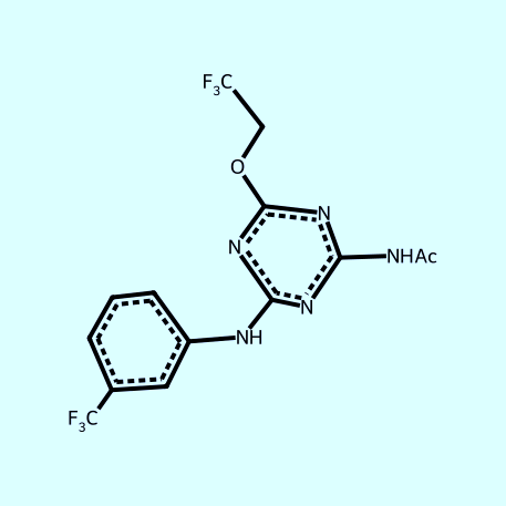 CC(=O)Nc1nc(Nc2cccc(C(F)(F)F)c2)nc(OCC(F)(F)F)n1